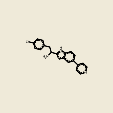 NC(Cc1ccc(Cl)cc1)c1nc2cc(-c3ccncc3)ccc2[nH]1